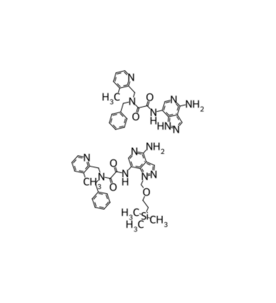 Cc1cccnc1CN(Cc1ccccc1)C(=O)C(=O)Nc1cnc(N)c2cn[nH]c12.Cc1cccnc1CN(Cc1ccccc1)C(=O)C(=O)Nc1cnc(N)c2cnn(COCC[Si](C)(C)C)c12